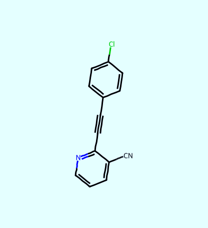 N#Cc1cccnc1C#Cc1ccc(Cl)cc1